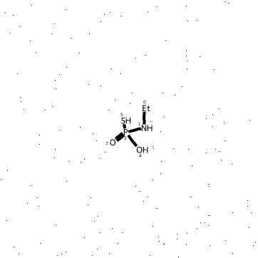 CCNP(=O)(O)S